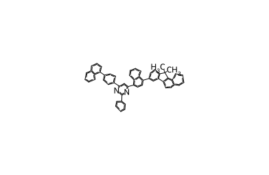 CC1(C)c2ccc(-c3ccc(-c4cc(-c5ccc(-c6cccc7ccccc67)cc5)nc(-c5ccccc5)n4)c4ccccc34)cc2-c2ccc3ccccc3c21